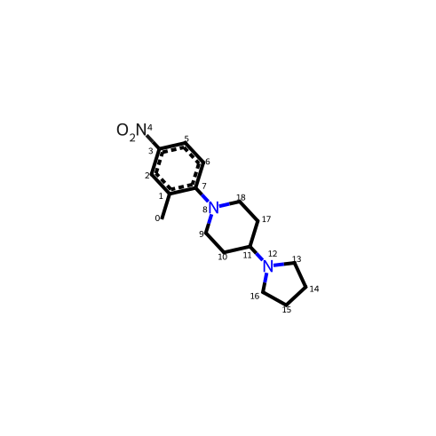 Cc1cc([N+](=O)[O-])ccc1N1CCC(N2CCCC2)CC1